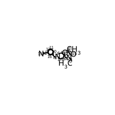 CCN1CC2(CCN(Cc3cccc(C#N)c3)CC2)O[C@@H](C)C1=O